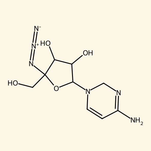 [N-]=[N+]=NC1(CO)OC(N2C=CC(N)=NC2)C(O)C1O